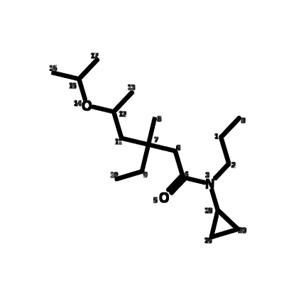 CCCN(C(=O)CC(C)(CC)CC(C)OC(C)C)C1CC1